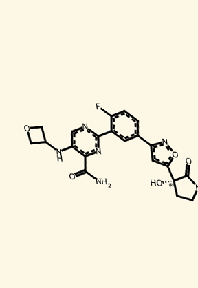 CN1CC[C@@](O)(c2cc(-c3ccc(F)c(-c4ncc(NC5COC5)c(C(N)=O)n4)c3)no2)C1=O